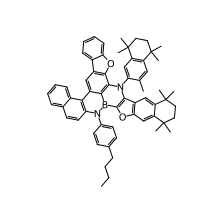 CCCCc1ccc(N2B3c4oc5cc6c(cc5c4N(c4cc5c(cc4C)C(C)(C)CCC5(C)C)c4c3c(cc3c4oc4ccccc43)-c3c2ccc2ccccc32)C(C)(C)CCC6(C)C)cc1